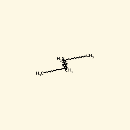 CCCCCCCCCCCCCCCCCc1c(C)sc2c1sc1c3sc(C)c(CCCCCCCCCCCCCCCCC)c3sc21